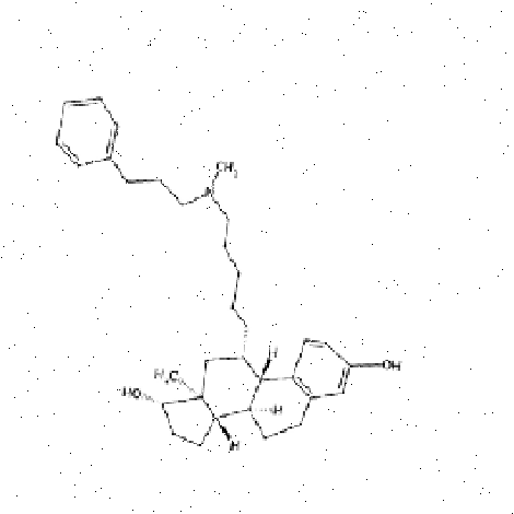 CN(CCCCC[C@H]1C[C@]2(C)[C@@H](O)CC[C@H]2[C@@H]2CCc3cc(O)ccc3[C@@H]12)CCCc1ccccc1